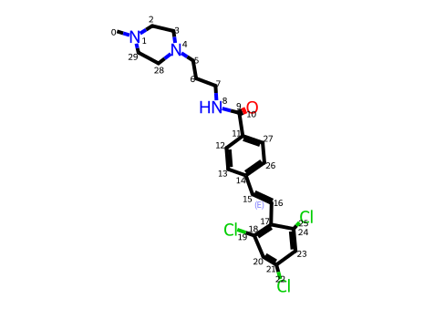 CN1CCN(CCCNC(=O)c2ccc(/C=C/c3c(Cl)cc(Cl)cc3Cl)cc2)CC1